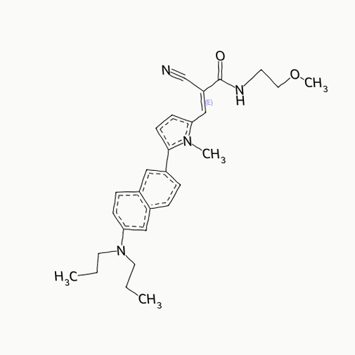 CCCN(CCC)c1ccc2cc(-c3ccc(/C=C(\C#N)C(=O)NCCOC)n3C)ccc2c1